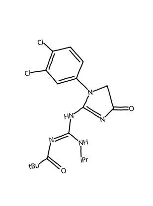 CC(C)N/C(=N\C(=O)C(C)(C)C)NC1=NC(=O)CN1c1ccc(Cl)c(Cl)c1